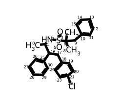 CC(NS(=O)(=O)C(C)(C)Cc1ccccc1)C(Cc1ccc(Cl)cc1)c1ccccc1